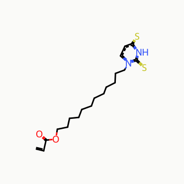 C=CC(=O)OCCCCCCCCCCCCn1ccc(=S)[nH]c1=S